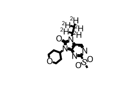 [2H]C([2H])([2H])C([2H])([2H])n1c(=O)n(C2CCOCC2)c2nc(S(C)(=O)=O)ncc21